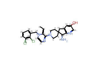 C/C=C1/C(N2CCC3(CC2)Cc2cc(O)cnc2C3N)=NC=CN1Cc1cccc(Cl)c1Cl